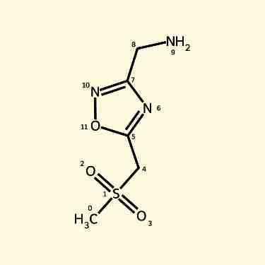 CS(=O)(=O)Cc1nc(CN)no1